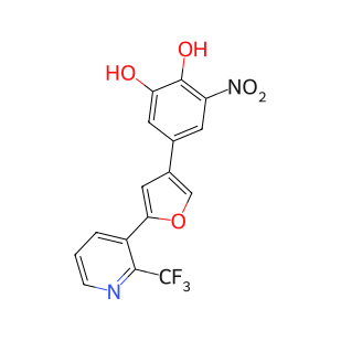 O=[N+]([O-])c1cc(-c2coc(-c3cccnc3C(F)(F)F)c2)cc(O)c1O